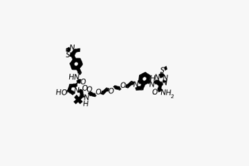 CSc1nnc(C(N)=O)c(Nc2cccc3c2ccn3CCOCCOCCOCC(=O)N[C@H](C(=O)N2C[C@H](O)C[C@H]2C(=O)NCc2ccc(-c3scnc3C)cc2)C(C)(C)C)n1